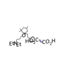 CCN(CC)CCCOC1(CCc2ccccc2)CC(C)CC(C)(C)C1.O=C(O)/C=C/C(=O)O